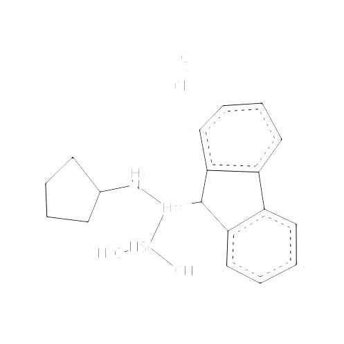 C[SiH](C)[Hf+2]([NH]C1CCCC1)[CH]1c2ccccc2-c2ccccc21.[Cl-].[Cl-]